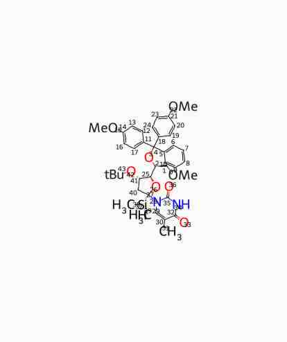 COC[C@H](OC(c1ccccc1)(c1ccc(OC)cc1)c1ccc(OC)cc1)[C@H]1O[C@](n2cc(C)c(=O)[nH]c2=O)([SiH](C)C)C[C@@H]1OC(C)(C)C